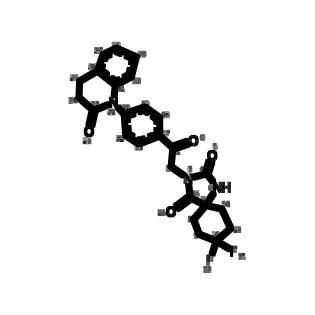 O=C(CN1C(=O)NC2(CCC(F)(F)CC2)C1=O)c1ccc(N2C(=O)CCc3ccccc32)cc1